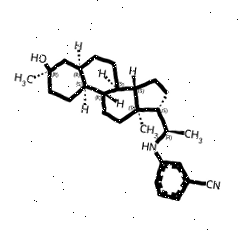 C[C@@H](Nc1cccc(C#N)c1)[C@H]1CC[C@H]2[C@@H]3CC[C@@H]4C[C@](C)(O)CC[C@@H]4[C@H]3CC[C@]12C